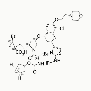 CC[C@@H]1C[C@]1(CC[C@@H]1C[C@@H](Oc2cc(-c3csc(NC(C)C)n3)nc3c(Cl)c(OCCN4CCOCC4)ccc23)CN1C(=O)[C@@H](NC(=O)OC1C[C@@H]2C[C@@H]2C1)C(C)(C)C)C(=O)O